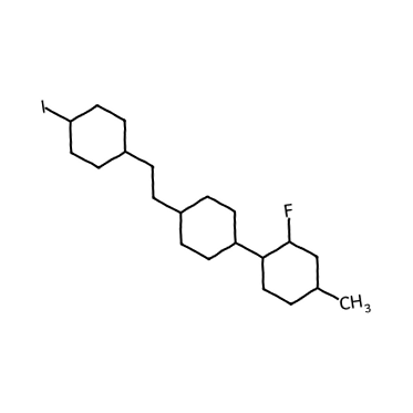 CC1CCC(C2CCC(CCC3CCC(I)CC3)CC2)C(F)C1